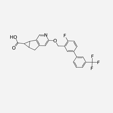 O=C(O)C1C2Cc3cc(OCc4cc(-c5cccc(C(F)(F)F)c5)ccc4F)ncc3C21